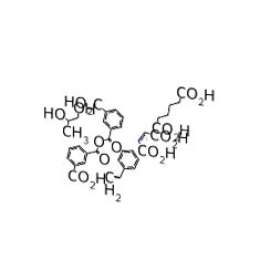 C=Cc1ccccc1.CC(O)CO.O=C(O)/C=C\C(=O)O.O=C(O)CCCCC(=O)O.O=C(O)c1cccc(C(=O)OC(=O)c2cccc(C(=O)O)c2)c1